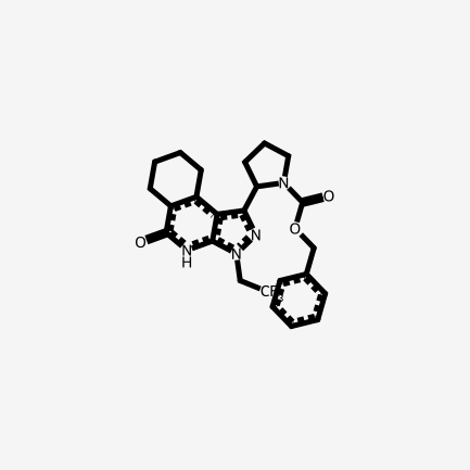 O=C(OCc1ccccc1)N1CCCC1c1nn(CC(F)(F)F)c2[nH]c(=O)c3c(c12)CCCC3